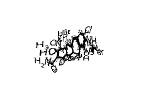 Br.CN(C)[C@@H]1C(O)=C(C(N)=O)C(=O)C2(O)C(O)=C3C(=O)c4c(cc(Cl)c(NC(=O)CBr)c4O)CC3CC12